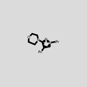 CC(=O)c1cn(C(C)C)nc1N1CCOCC1